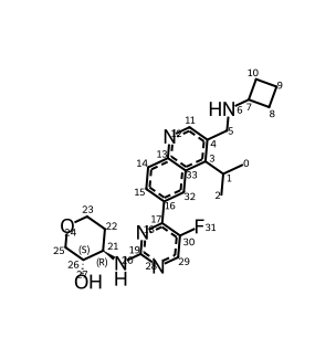 CC(C)c1c(CNC2CCC2)cnc2ccc(-c3nc(N[C@@H]4CCOC[C@H]4O)ncc3F)cc12